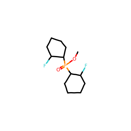 COP(=O)(C1CCCCC1F)C1CCCCC1F